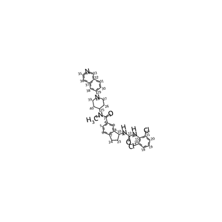 CN(C(=O)c1ccc2c(c1)C(NC(=O)Nc1c(Cl)cccc1Cl)CC2)C1CCN(c2ccc3cnccc3c2)CC1